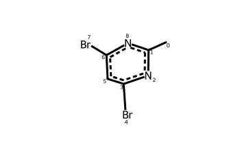 Cc1nc(Br)cc(Br)n1